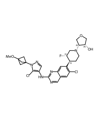 COC12CC(n3ncc(Nc4ncc5cc(Cl)c([C@@H]6CCN([C@@H]7COC[C@@H]7O)C[C@H]6F)cc5n4)c3Cl)(C1)C2